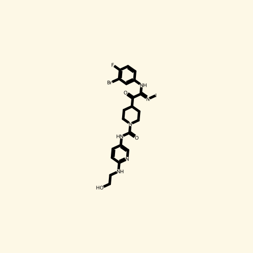 O=C(/C(=N/I)Nc1ccc(F)c(Br)c1)C1CCN(C(=O)Nc2ccc(NCCO)nc2)CC1